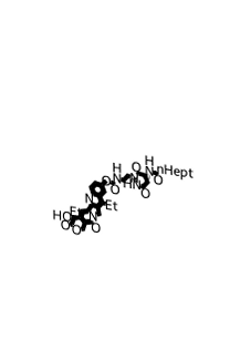 CCCCCCCC(=O)N[C@@H]1CC(=O)NN(CCNC(=O)Oc2ccc3nc4c(c(CC)c3c2)Cn2c-4cc3c(c2=O)COC(=O)[C@]3(O)CC)C1=O